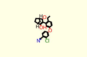 CCc1ccc(Oc2ccc(C#N)c(Cl)c2)cc1C1=C(O)[C@H]2CC[C@H](C2)C1=O